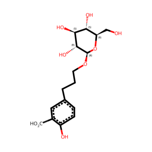 O=C(O)c1cc(CCCO[C@@H]2O[C@H](CO)[C@@H](O)[C@H](O)[C@H]2O)ccc1O